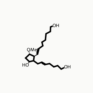 CO[C@H]1C[C@@H](O)C(C/C=C/CCCCO)[C@@H]1/C=C/CCCCCCO